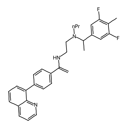 C=C(NCCN(CCC)C(C)c1cc(F)c(C)c(F)c1)c1ccc(-c2cccc3cccnc23)cc1